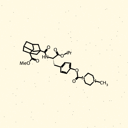 COC(=O)C12CC3CC(CC(C(=O)N[C@@H](Cc4ccc(OC(=O)N5CCN(C)CC5)cc4)C(=O)OC(C)C)(C3)C1)C2